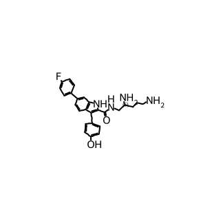 NCCC[C@H](N)CNC(=O)c1[nH]c2cc(-c3ccc(F)cc3)ccc2c1-c1ccc(O)cc1